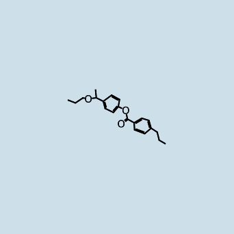 CCCOC(C)c1ccc(OC(=O)c2ccc(CCC)cc2)cc1